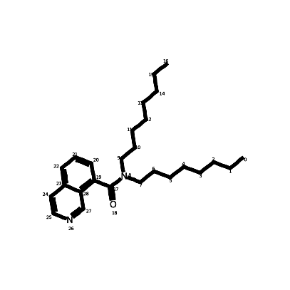 CCCCCCCCN(CCCCCCCC)C(=O)c1cccc2ccncc12